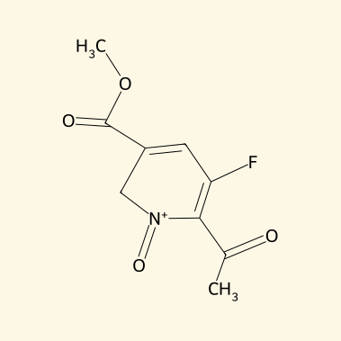 COC(=O)C1=CC(F)=C(C(C)=O)[N+](=O)C1